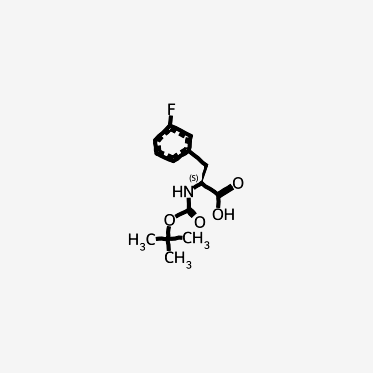 CC(C)(C)OC(=O)N[C@@H](Cc1cccc(F)c1)C(=O)O